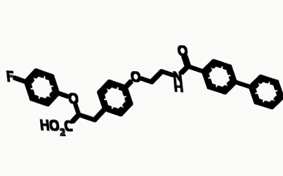 O=C(NCCOc1ccc(CC(Oc2ccc(F)cc2)C(=O)O)cc1)c1ccc(-c2ccccc2)cc1